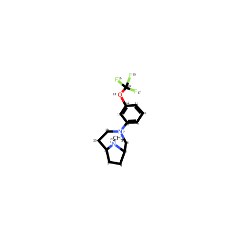 CN1C2CCC1CN(c1cccc(OC(F)(F)F)c1)CC2